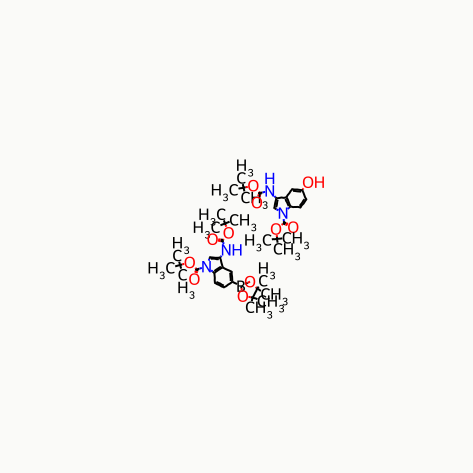 CC(C)(C)OC(=O)Nc1cn(C(=O)OC(C)(C)C)c2ccc(B3OC(C)(C)C(C)(C)O3)cc12.CC(C)(C)OC(=O)Nc1cn(C(=O)OC(C)(C)C)c2ccc(O)cc12